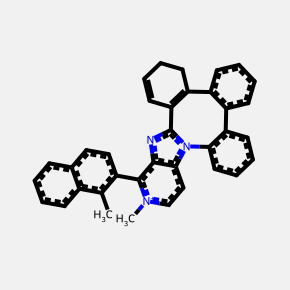 Cc1c(-c2c3nc4n(c3cc[n+]2C)-c2ccccc2-c2ccccc2C2=C4C=CCC2)ccc2ccccc12